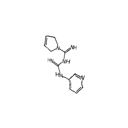 N=C(NC(=N)N1CC=CC1)Nc1cccnc1